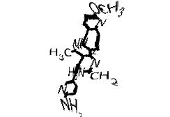 C=C(N)/N=C(\C(C#Cc1ccc(N)nc1)=C(\C)N)c1ccc2nc(OC)ccc2c1